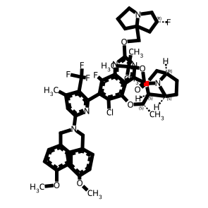 COc1ccc(CN(Cc2ccc(OC)cc2)c2cc(C)c(C(F)(F)F)c(-c3c(Cl)c4c5c(nc(OCC67CCCN6C[C@H](F)C7)nc5c3F)N3C[C@H]5CC[C@@H]([C@H]3[C@H](C)O4)N5C(=O)OC(C)(C)C)n2)cc1